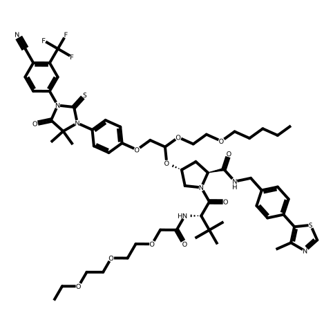 CCCCCOCCOC(COc1ccc(N2C(=S)N(c3ccc(C#N)c(C(F)(F)F)c3)C(=O)C2(C)C)cc1)O[C@@H]1C[C@@H](C(=O)NCc2ccc(-c3scnc3C)cc2)N(C(=O)[C@@H](NC(=O)COCCOCCOCC)C(C)(C)C)C1